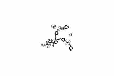 Cl.Cl.Nc1nc(N)c(C(=O)N[C@H]2CCC[N+](CCCc3ccc(OCC(=O)NCc4ccncc4)cc3)(CCCc3ccc(OCC(=O)NCc4ccncc4)cc3)C2)nc1Cl.[Cl-]